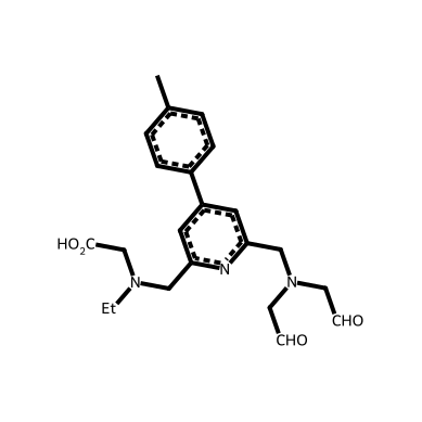 CCN(CC(=O)O)Cc1cc(-c2ccc(C)cc2)cc(CN(CC=O)CC=O)n1